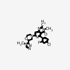 Cc1nc2cc(N3CCOC(c4nncn4C)C3)nc(-c3ccc(Cl)cc3F)c2c(=O)n1C